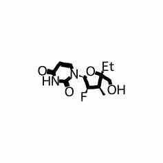 CC[C@]1(CO)O[C@@H](n2ccc(=O)[nH]c2=O)[C@@H](F)[C@@H]1C